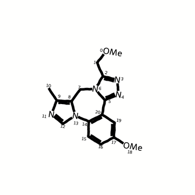 COCc1nnc2n1Cc1c(C)ncn1-c1ccc(OC)cc1-2